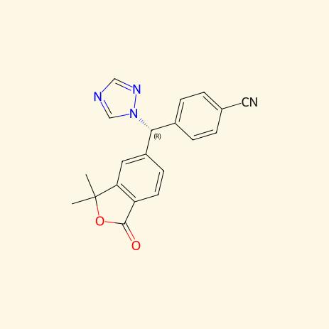 CC1(C)OC(=O)c2ccc([C@@H](c3ccc(C#N)cc3)n3cncn3)cc21